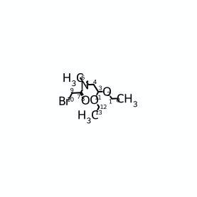 CCOC(CN(C)C(=O)CBr)OCC